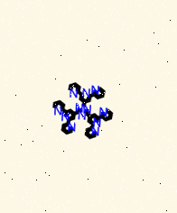 c1ccc(-c2cc(-c3nc(-c4cc(-c5ccccn5)nc(-c5ccccn5)c4)nc(-c4cc(-c5ccccn5)nc(-c5ccccn5)c4)n3)cc(-c3ccccn3)n2)nc1